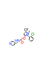 O=C(COc1cc(C(F)(F)F)nn1-c1ccccc1Cl)NCc1ccncc1